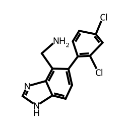 NCc1c(-c2ccc(Cl)cc2Cl)ccc2[nH]cnc12